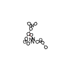 c1ccc(-c2ccc3oc4cc(-c5nc(-c6ccccc6)nc(-c6cccc7oc8ccc(-c9ccc(-c%10ccc%11c(c%10)c%10ccccc%10n%11-c%10ccccc%10)cc9)cc8c67)n5)ccc4c3c2)cc1